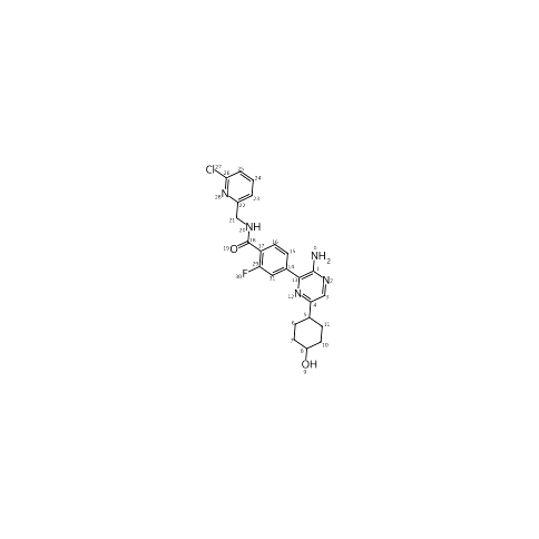 Nc1ncc(C2CCC(O)CC2)nc1-c1ccc(C(=O)NCc2cccc(Cl)n2)c(F)c1